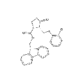 O=C1OCN(C(=O)OCC2c3ccccc3-c3ccccc32)[C@H]1COc1ccccc1Cl